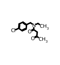 CCN(Cc1ccc(Cl)cc1)C(=O)CC(C)=O